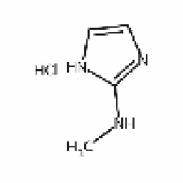 CNc1ncc[nH]1.Cl